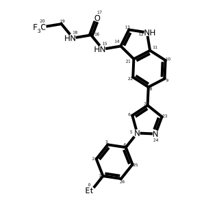 CCc1ccc(-n2cc(-c3ccc4[nH]cc(NC(=O)NCC(F)(F)F)c4c3)cn2)cc1